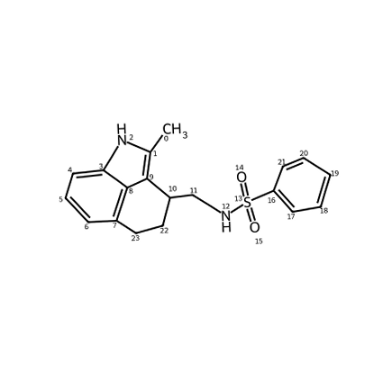 Cc1[nH]c2cccc3c2c1C(CNS(=O)(=O)c1ccccc1)CC3